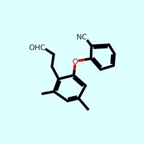 Cc1cc(C)c(CCC=O)c(Oc2ccccc2C#N)c1